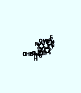 COc1ccc(C2(c3cccc(-c4ccc(F)nc4F)c3)COC(NOC=O)=N2)cc1F